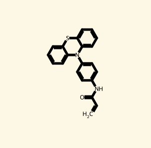 C=CC(=O)Nc1ccc(N2c3ccccc3Sc3ccccc32)cc1